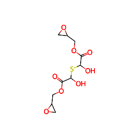 O=C(OCC1CO1)C(O)SC(O)C(=O)OCC1CO1